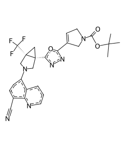 CC(C)(C)OC(=O)N1CC=C(c2nnc([C@]34CN(c5ccc(C#N)c6ncccc56)C[C@@]3(C(F)(F)F)C4)o2)C1